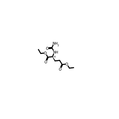 CCOC(=O)CC[C@H](NC(N)=O)C(=O)OCC